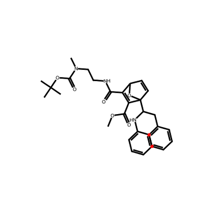 COC(=O)C1=C(C(=O)NCCN(C)C(=O)OC(C)(C)C)C2C=CC1(C(Cc1ccccc1)Nc1ccccc1)O2